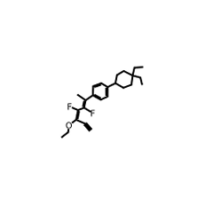 C#C/C(OCC)=C(F)\C(F)=C(/C)c1ccc(C2CCC(CC)(CC)CC2)cc1